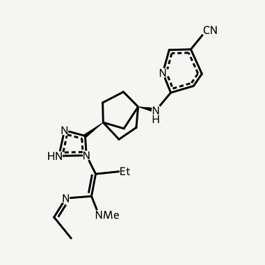 C/C=N\C(NC)=C(\CC)n1[nH]nc1[C@]12CC[C@](Nc3ccc(C#N)cn3)(CC1)C2